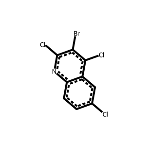 Clc1ccc2nc(Cl)c(Br)c(Cl)c2c1